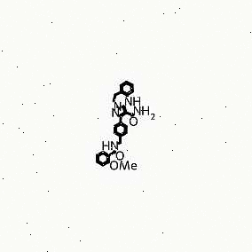 COc1ccccc1C(=O)NCc1ccc(-c2nn3c(c2C(N)=O)Nc2ccccc2CC3)cc1